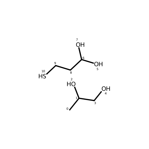 CC(O)CO.OC(O)CCS